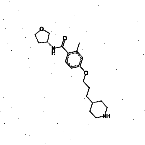 Cc1cc(OCCCC2CCNCC2)ccc1C(=O)N[C@@H]1CCOC1